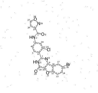 O=C(Nc1ccc(-c2nc3c(oc4ccc(Br)cc43)c(=O)[nH]2)c(Cl)c1)c1ccon1